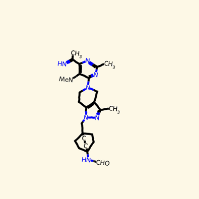 CNc1c(C(C)=N)nc(C)nc1N1CCc2c(c(C)nn2CC23CCC(NC=O)(CC2)CC3)C1